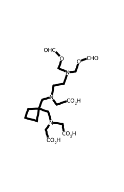 O=COCN(CCN(CC(=O)O)CC1(CN(CC(=O)O)CC(=O)O)CCC1)COC=O